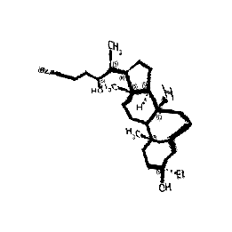 CC[C@]1(O)CC[C@@]2(C)C(=CC[C@@H]3C2CC[C@]2(C)[C@@H]([C@H](C)[C@@H](O)CCC(C)(C)C)CC[C@@H]32)C1